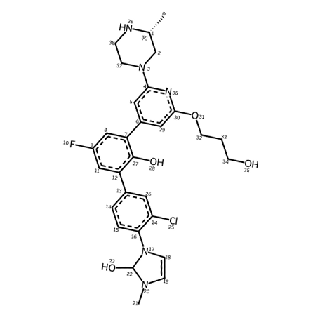 C[C@@H]1CN(c2cc(-c3cc(F)cc(-c4ccc(N5C=CN(C)C5O)c(Cl)c4)c3O)cc(OCCCO)n2)CCN1